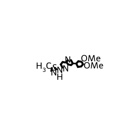 COc1ccc(-c2cnc3ccc(Nc4ncc(C)s4)nc3c2)cc1OC